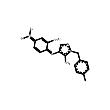 CC[N+](CC)=C1C=C/C(=N/c2cnn(Cc3ccc(C)cc3)c2N)C(NC(C)=O)=C1